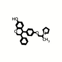 CC(COc1ccc(C2c3ccc(O)cc3OCC2c2ccccc2)cc1)N1CCCC1